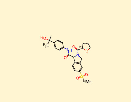 CNS(=O)(=O)c1ccc2c(c1)CN(C(=O)[C@H]1CCCO1)C2C(=O)Nc1ccc(C(C)(O)C(F)(F)F)cc1